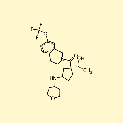 CC(O)[C@]1(C(=O)N2CCc3ncc(OC(F)(F)F)cc3C2)CC[C@@H](NC2CCOCC2)C1